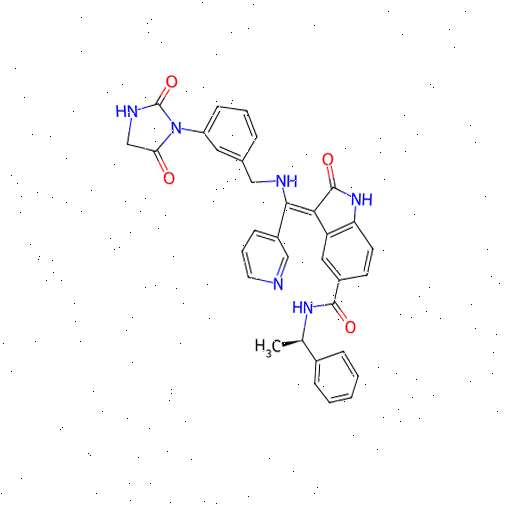 C[C@@H](NC(=O)c1ccc2c(c1)/C(=C(/NCc1cccc(N3C(=O)CNC3=O)c1)c1cccnc1)C(=O)N2)c1ccccc1